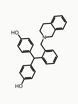 Oc1ccc(C(c2ccc(O)cc2)c2ccccc2CN2CCc3ccccc3C2)cc1